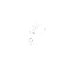 CCOC(=O)[C@H](Cc1ccc(N)nc1)NC(=O)N[C@@H]1CCCCCCCCOC[C@H](C(C)C)NC1=O